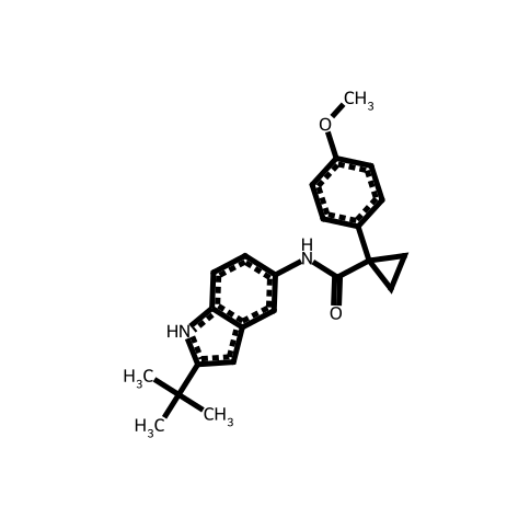 COc1ccc(C2(C(=O)Nc3ccc4[nH]c(C(C)(C)C)cc4c3)CC2)cc1